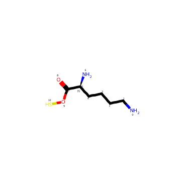 NCCCC[C@H](N)C(=O)OS